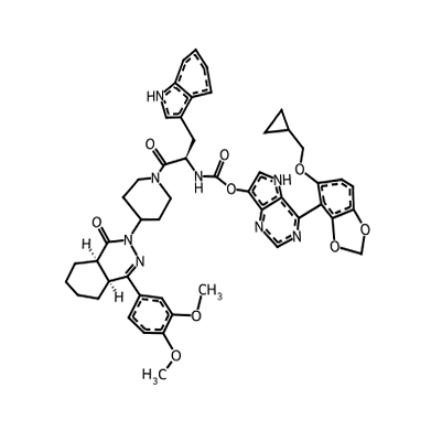 COc1ccc(C2=NN(C3CCN(C(=O)[C@@H](Cc4c[nH]c5ccccc45)NC(=O)Oc4c[nH]c5c(-c6c(OCC7CC7)ccc7c6OCO7)ncnc45)CC3)C(=O)[C@@H]3CCCC[C@H]23)cc1OC